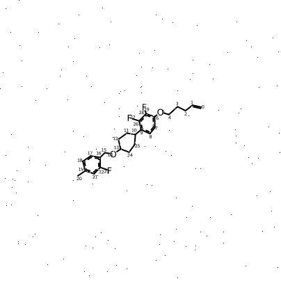 C=CCCCOc1ccc(C2CCC(OCc3ccc(C)cc3F)CC2)c(F)c1F